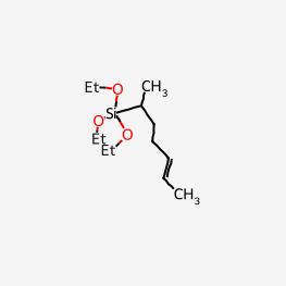 C/C=C/CCC(C)[Si](OCC)(OCC)OCC